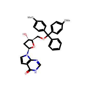 COc1ccc(C(OC[C@H]2O[C@@H](n3ccc4c(=O)[nH]cnc43)C[C@@H]2O)(c2ccccc2)c2ccc(OC)cc2)cc1